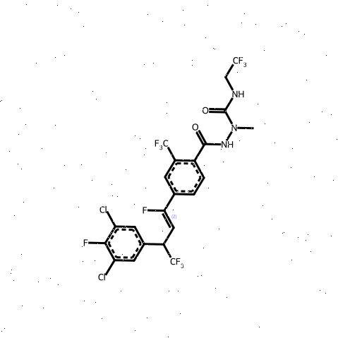 CN(NC(=O)c1ccc(/C(F)=C/C(c2cc(Cl)c(F)c(Cl)c2)C(F)(F)F)cc1C(F)(F)F)C(=O)NCC(F)(F)F